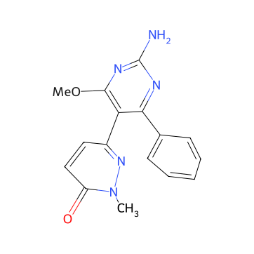 COc1nc(N)nc(-c2ccccc2)c1-c1ccc(=O)n(C)n1